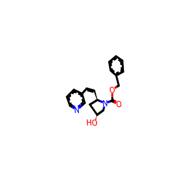 O=C(OCc1ccccc1)N1C[C@H](O)C[C@H]1/C=C\c1cccnc1